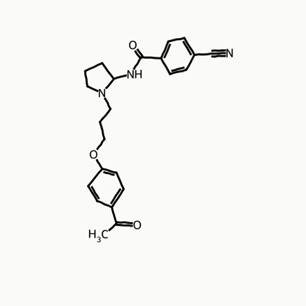 CC(=O)c1ccc(OCCCN2CCCC2NC(=O)c2ccc(C#N)cc2)cc1